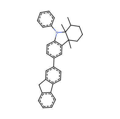 CC1CCCC2(C)c3cc(-c4ccc5c(c4)Cc4ccccc4-5)ccc3N(c3ccccc3)C12C